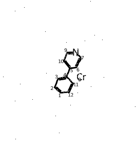 [Cr].c1ccc(-c2ccncc2)cc1